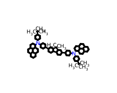 CC(C)(C)c1ccc(N(c2ccc(-c3ccc4c(c3)C(C)(C)c3cc(-c5ccc(N(c6ccc(C(C)(C)C)cc6)c6ccc7ccc8cccc9ccc6c7c89)cc5)ccc3-4)cc2)c2ccc3ccc4cccc5ccc2c3c45)cc1